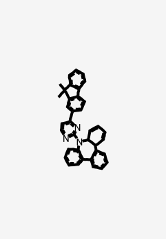 CC1(C)c2ccccc2-c2ccc(-c3ccnc(N4c5ccccc5-c5ccccc5C5C=CC=CC54)n3)cc21